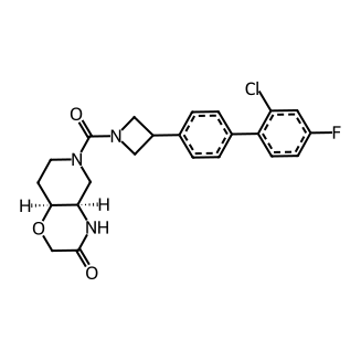 O=C1CO[C@H]2CCN(C(=O)N3CC(c4ccc(-c5ccc(F)cc5Cl)cc4)C3)C[C@H]2N1